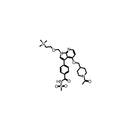 CC(=O)N1CCC(COc2ccnc3c2c(-c2ccc(C(=O)NS(C)(=O)=O)cc2)cn3COCC[Si](C)(C)C)CC1